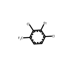 CCc1c(Cl)ccc(C(F)(F)F)c1Cl